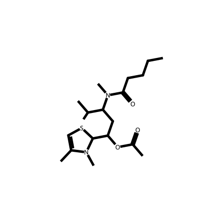 CCCCC(=O)N(C)C(CC(OC(C)=O)C1SC=C(C)N1C)C(C)C